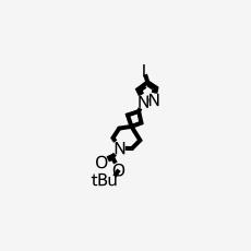 CC(C)(C)OC(=O)N1CCC2(CC1)CC(n1cc(I)cn1)C2